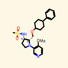 COc1ccncc1N1CC[C@H](NS(C)(=O)=O)[C@@H]1COC1CCC(c2ccccc2)CC1